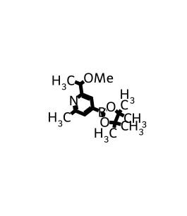 COC(C)c1cc(B2OC(C)(C)C(C)(C)O2)cc(C)n1